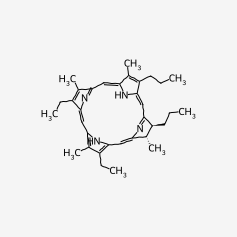 CCCc1c(C)c2cc3nc(cc4[nH]c(cc5nc(cc1[nH]2)[C@@H](CCC)[C@@H]5C)c(CC)c4C)C(CC)=C3C